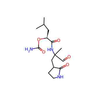 CC(C)C[C@H](OC(N)=O)C(=O)NC(C)(C=O)CC1CCNC1=O